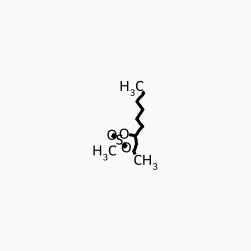 CCCCCCC(CCC)OS(C)(=O)=O